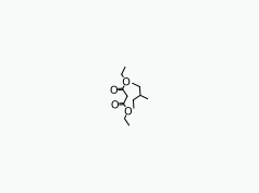 CCC(C)CC.CCOC(=O)CC(=O)OCC